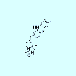 Cc1ccc(Nc2cc(CN3CCN4[C@@H](C3)CN(C)S4(=O)=O)ccc2F)cn1